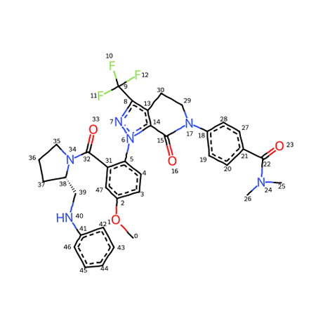 COc1ccc(-n2nc(C(F)(F)F)c3c2C(=O)N(c2ccc(C(=O)N(C)C)cc2)CC3)c(C(=O)N2CCC[C@H]2CNc2ccccc2)c1